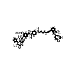 CC[C@@H]1C(=O)N(C)c2cnc(Nc3ccc(C(=O)N[C@H]4CC[C@@H](NCCCCCC#Cc5cccc6c5CN(C5CCC(=O)NC5=O)C6=O)CC4)cc3OC)nc2N1C1CCCC1